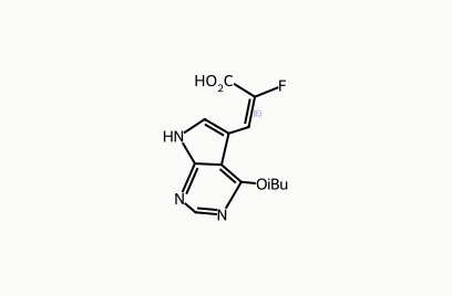 CC(C)COc1ncnc2[nH]cc(/C=C(/F)C(=O)O)c12